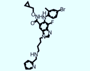 Cc1cc(Br)ccc1Nc1c(C(=O)NOCC2CC2)cc2c(ncn2CCCCNCc2ccccn2)c1F